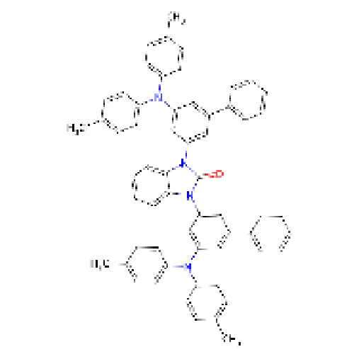 Cc1ccc(N(c2ccc(C)cc2)c2cc(-c3ccccc3)cc(-n3c(=O)n(-c4cc(-c5ccccc5)cc(N(c5ccc(C)cc5)c5ccc(C)cc5)c4)c4ccccc43)c2)cc1